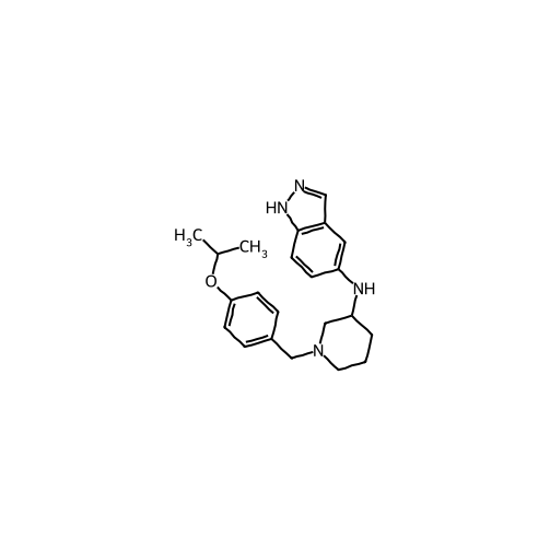 CC(C)Oc1ccc(CN2CCCC(Nc3ccc4[nH]ncc4c3)C2)cc1